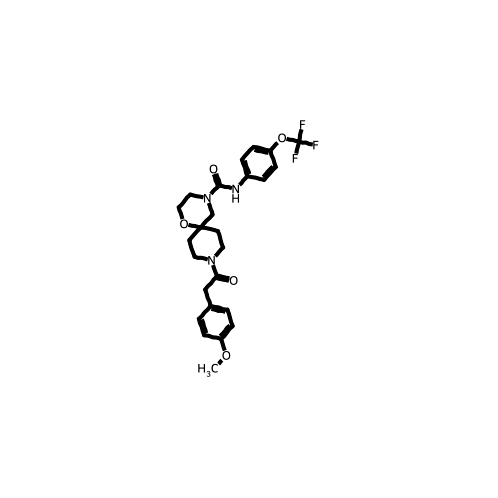 COc1ccc(CC(=O)N2CCC3(CC2)CN(C(=O)Nc2ccc(OC(F)(F)F)cc2)CCO3)cc1